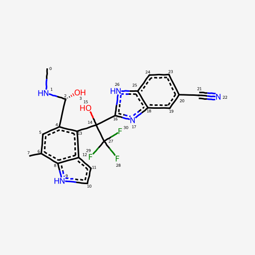 CN[C@H](O)c1cc(C)c2[nH]ccc2c1C(O)(c1nc2cc(C#N)ccc2[nH]1)C(F)(F)F